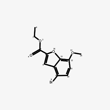 CCOC(=O)c1cc2c(Br)ccc(OC)c2o1